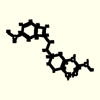 COC(=O)OC1=C(O)CCN(CCC2=Cc3ccc(OC)cc32)C1